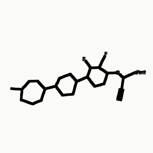 C#CC(CCCCC)OC1CCC(C2CCC(C3CCCC(C)CC3)CC2)C(F)C1F